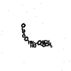 CC1(C)OCc2cc([C@@H](O)CNCCc3ccc(OCCOCc4ccccc4)cc3)ccc2O1